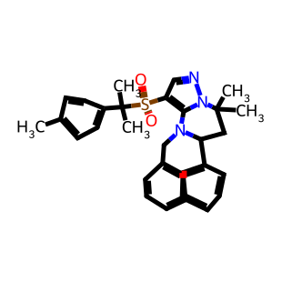 Cc1ccc(C(C)(C)S(=O)(=O)c2cnn3c2N(Cc2ccccc2)C(c2ccccc2)CC3(C)C)cc1